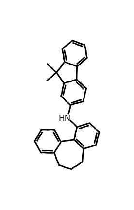 CC1(C)c2ccccc2-c2ccc(Nc3cccc4c3-c3ccccc3CCC4)cc21